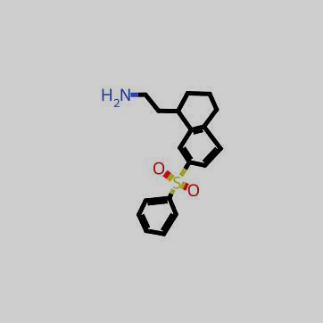 NCCC1CCCc2ccc(S(=O)(=O)c3ccccc3)cc21